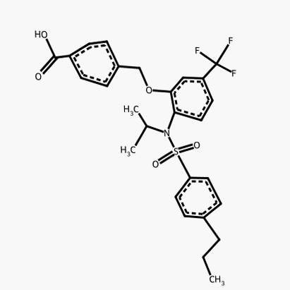 CCCc1ccc(S(=O)(=O)N(c2ccc(C(F)(F)F)cc2OCc2ccc(C(=O)O)cc2)C(C)C)cc1